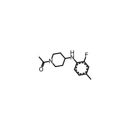 CC(=O)N1CCC(Nc2ccc(C)cc2F)CC1